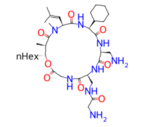 CCCCCC[C@H]1OC(=O)CNC(=O)[C@H](CNC(=O)CN)NC(=O)[C@H](CN)NC(=O)[C@H](C2CCCCC2)NC(=O)[C@H](C=C(C)C)N(C)C(=O)[C@@H]1C